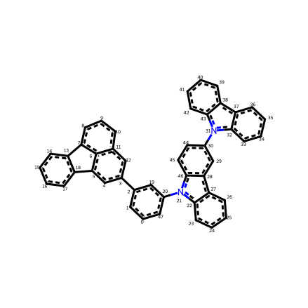 c1cc(-c2cc3c4c(cccc4c2)-c2ccccc2-3)cc(-n2c3ccccc3c3cc(-n4c5ccccc5c5ccccc54)ccc32)c1